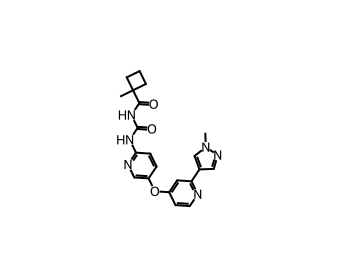 Cn1cc(-c2cc(Oc3ccc(NC(=O)NC(=O)C4(C)CCC4)nc3)ccn2)cn1